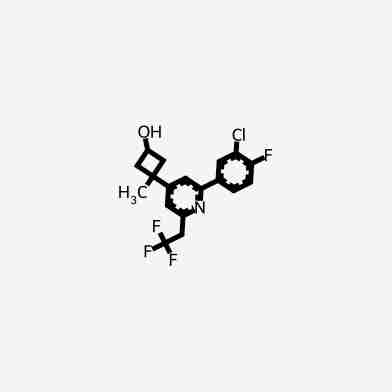 CC1(c2cc(CC(F)(F)F)nc(-c3ccc(F)c(Cl)c3)c2)CC(O)C1